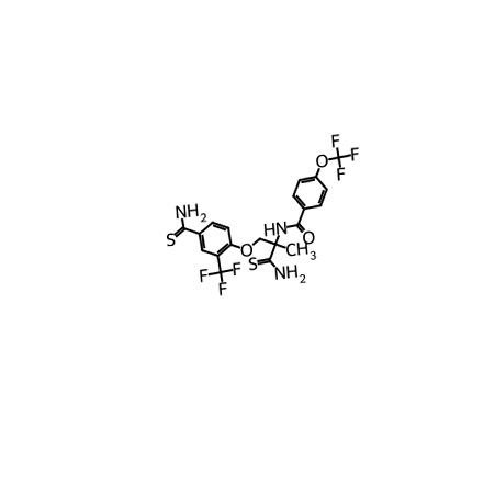 CC(COc1ccc(C(N)=S)cc1C(F)(F)F)(NC(=O)c1ccc(OC(F)(F)F)cc1)C(N)=S